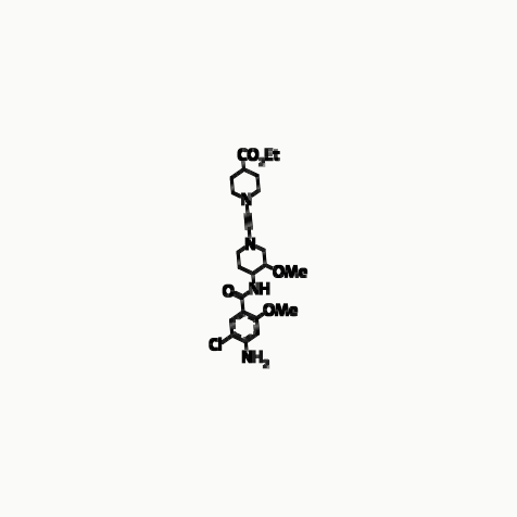 CCOC(=O)C1CCN(C#CN2CCC(NC(=O)c3cc(Cl)c(N)cc3OC)C(OC)C2)CC1